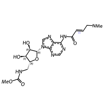 CNC/C=C/C(=O)Nc1ncnc2c1ncn2[C@@H]1O[C@H](CNC(=O)OC)[C@@H](O)[C@H]1O